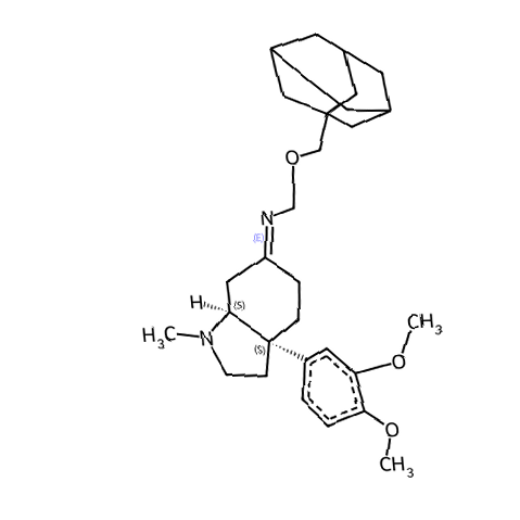 COc1ccc([C@@]23CC/C(=N\COCC45CC6CC(CC(C6)C4)C5)C[C@@H]2N(C)CC3)cc1OC